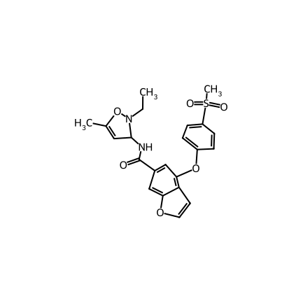 CCN1OC(C)=CC1NC(=O)c1cc(Oc2ccc(S(C)(=O)=O)cc2)c2ccoc2c1